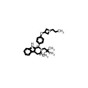 CCCN1CC(Oc2ccc([C@@H]3c4[nH]c5ccccc5c4C[C@@H](C)N3CC(C)(C)P)cc2)C1